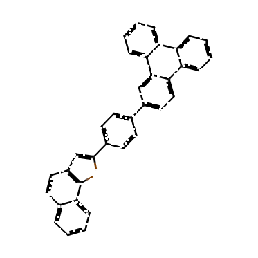 c1ccc2c(c1)ccc1cc(-c3ccc(-c4ccc5c6ccccc6c6ccccc6c5c4)cc3)sc12